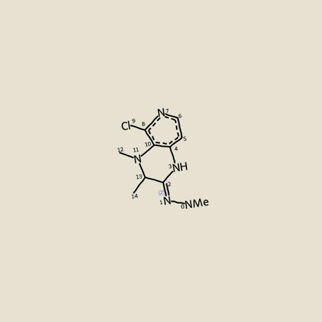 CN/N=C1\Nc2ccnc(Cl)c2N(C)C1C